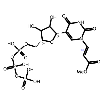 COC(=O)/C=C/n1cc([C@@H]2O[C@H](COP(=O)(O)OP(=O)(O)OP(=O)(O)O)C(O)C2O)c(=O)[nH]c1=O